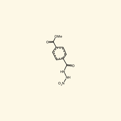 COC(=O)c1ccc(C(=O)NN[N+](=O)[O-])cc1